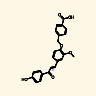 COc1cc(/C=C/C(=O)c2ccc(O)cc2)ccc1OCc1ccc(C(=O)O)cc1